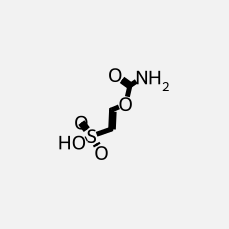 NC(=O)OC=CS(=O)(=O)O